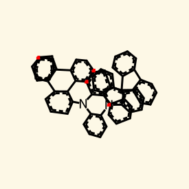 c1ccc(-c2ccccc2-c2c(-c3ccccc3)cccc2N(c2ccccc2-n2c3ccccc3c3ccccc32)c2cccc3c2-c2ccccc2C32c3ccccc3-c3ccccc32)cc1